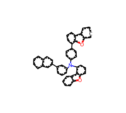 c1cc(-c2ccc3ccccc3c2)cc(N(c2ccc(-c3cccc4c3oc3ccccc34)cc2)c2cccc3oc4ccccc4c23)c1